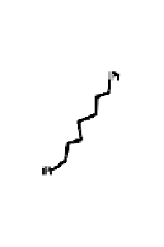 [CH2]C(C)CCCCCCCC(C)C